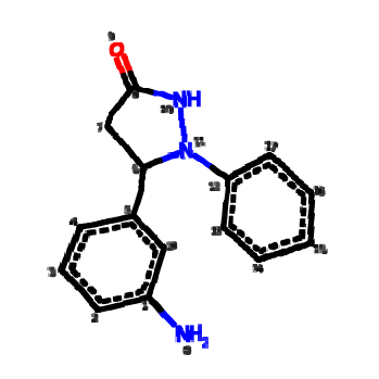 Nc1cccc(C2CC(=O)NN2c2ccccc2)c1